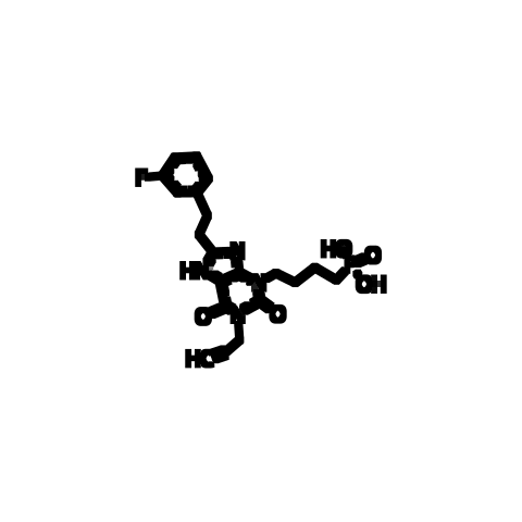 C#CCn1c(=O)c2[nH]c(CCc3cccc(F)c3)nc2n(CCCCP(=O)(O)O)c1=O